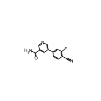 N#Cc1ccc(-c2cncc(C(N)=O)c2)cc1F